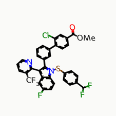 COC(=O)c1ccc(-c2cccc(-c3c(-c4ncccc4C(F)(F)F)c4cc(F)ccc4n3Sc3ccc(C(F)F)cc3)c2)c(Cl)c1